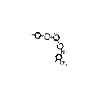 Cc1ccc(N2CCN(c3cc(N4CCC(Nc5ccc(C)c(C(F)(F)F)c5)CC4)ccn3)CC2)cc1